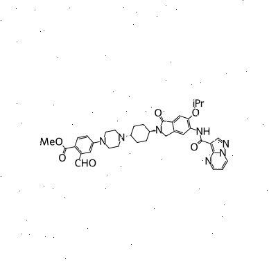 COC(=O)c1ccc(N2CCN([C@H]3CC[C@H](N4Cc5cc(NC(=O)c6cnn7cccnc67)c(OC(C)C)cc5C4=O)CC3)CC2)cc1C=O